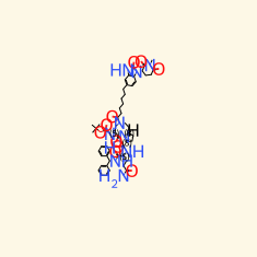 CN1C(=O)CCC(n2c(=O)[nH]c3cc(CCCCCCC(=O)N4CC[C@H]5CC[C@@H](C(=O)N[C@@H](CCC(N)=O)C(=O)NC(c6ccccc6)c6ccccc6)N5C(=O)[C@@H](NC(=O)OC(C)(C)C)C4)ccc32)C1=O